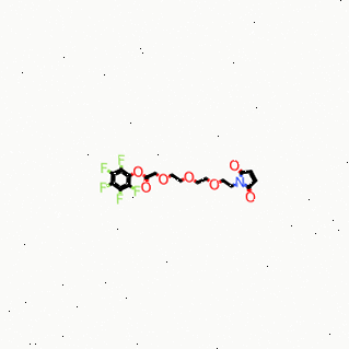 O=C(COCCOCCOCCN1C(=O)C=CC1=O)Oc1c(F)c(F)c(F)c(F)c1F